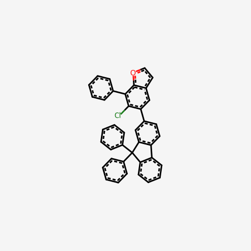 Clc1c(-c2ccc3c(c2)C(c2ccccc2)(c2ccccc2)c2ccccc2-3)cc2ccoc2c1-c1ccccc1